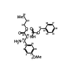 COc1ccc([C@H](N)[C@@H](NC(=O)OCc2ccccc2)C(=O)OCCSC)cc1